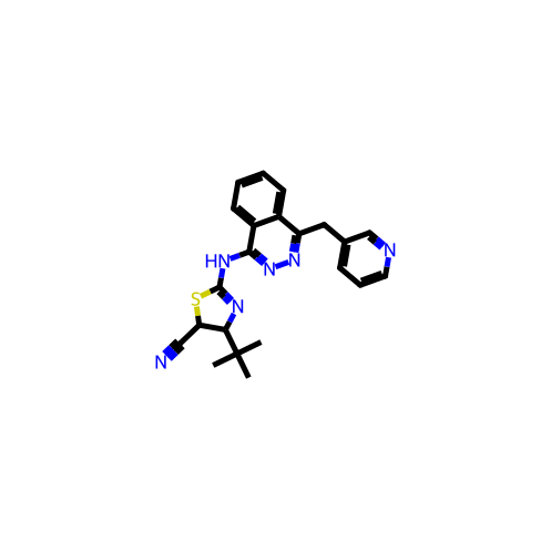 CC(C)(C)C1N=C(Nc2nnc(Cc3cccnc3)c3ccccc23)SC1C#N